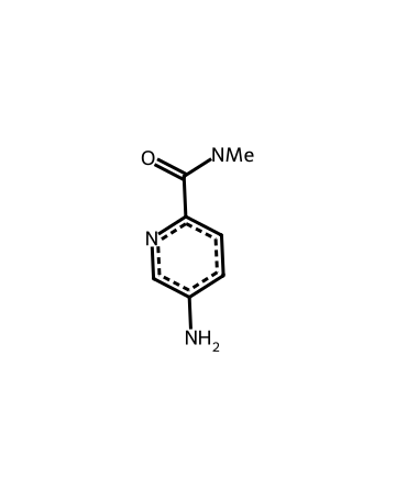 CNC(=O)c1ccc(N)cn1